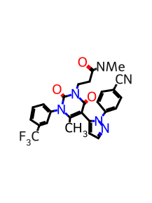 CNC(=O)CCn1c(=O)c(-c2ccnn2-c2ccc(C#N)cc2)c(C)n(-c2cccc(C(F)(F)F)c2)c1=O